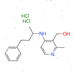 Cc1nccc(NC(C)CCc2ccccc2)c1CO.Cl.Cl